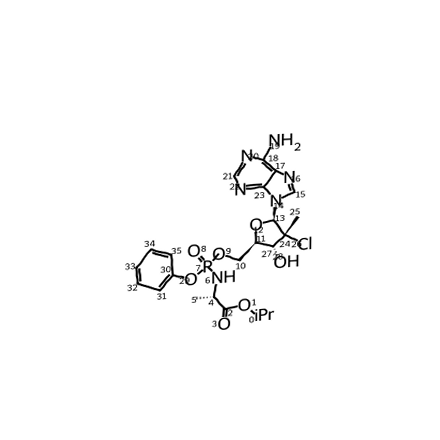 CC(C)OC(=O)[C@H](C)NP(=O)(OC[C@H]1O[C@@H](n2cnc3c(N)ncnc32)[C@](C)(Cl)[C@@H]1O)Oc1ccccc1